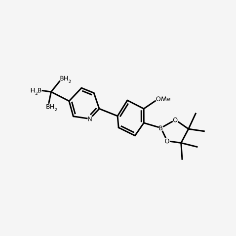 BC(B)(B)c1ccc(-c2ccc(B3OC(C)(C)C(C)(C)O3)c(OC)c2)nc1